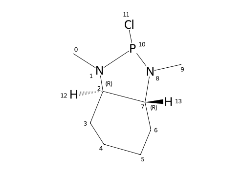 CN1[C@@H]2CCCC[C@H]2N(C)P1Cl